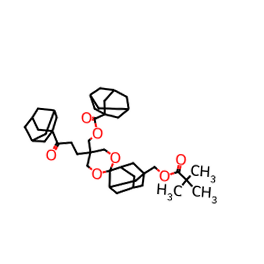 CC(C)(C)C(=O)OCC12CC3CC(C1)C1(OCC(CCC(=O)C45CC6CC(CC(C6)C4)C5)(COC(=O)C45CC6CC(CC(C6)C4)C5)CO1)C(C3)C2